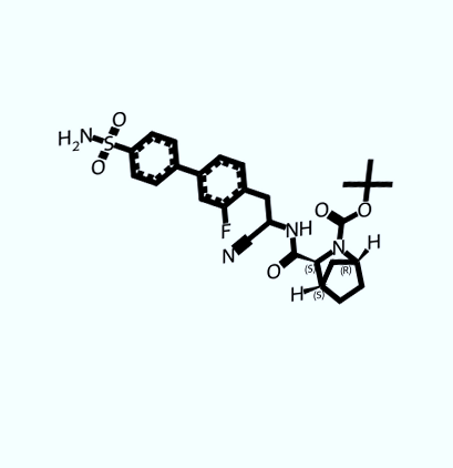 CC(C)(C)OC(=O)N1[C@@H]2CC[C@@H](C2)[C@H]1C(=O)NC(C#N)Cc1ccc(-c2ccc(S(N)(=O)=O)cc2)cc1F